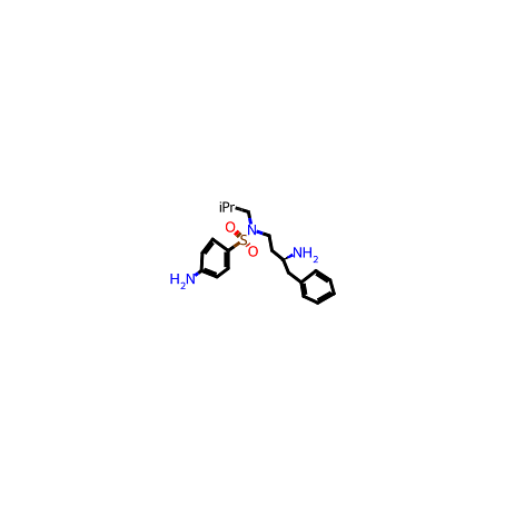 CC(C)CN(CC[C@@H](N)Cc1ccccc1)S(=O)(=O)c1ccc(N)cc1